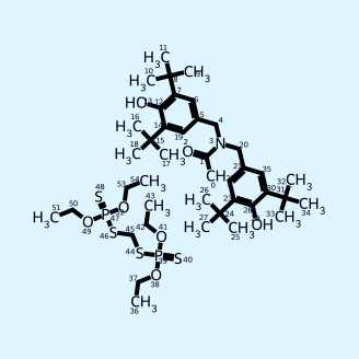 CC(=O)N(Cc1cc(C(C)(C)C)c(O)c(C(C)(C)C)c1)Cc1cc(C(C)(C)C)c(O)c(C(C)(C)C)c1.CCOP(=S)(OCC)SCSP(=S)(OCC)OCC